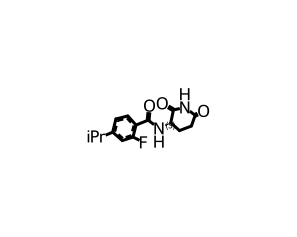 CC(C)c1ccc(C(=O)N[C@H]2CCC(=O)NC2=O)c(F)c1